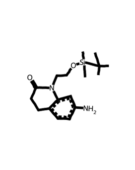 CC(C)(C)[Si](C)(C)OCCN1C(=O)CCc2ccc(N)cc21